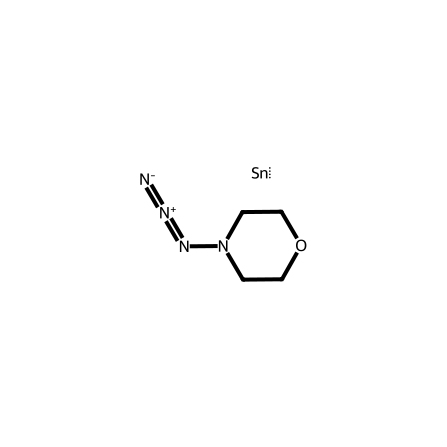 [N-]=[N+]=NN1CCOCC1.[Sn]